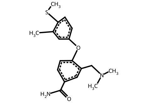 CSc1ccc(Oc2ccc(C(N)=O)cc2CN(C)C)cc1C